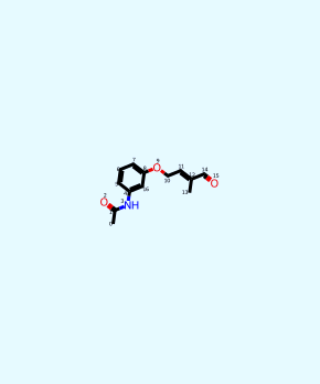 CC(=O)Nc1cccc(OC/C=C(\C)C=O)c1